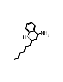 CCCCCCC1CC(N)c2ccccc2N1